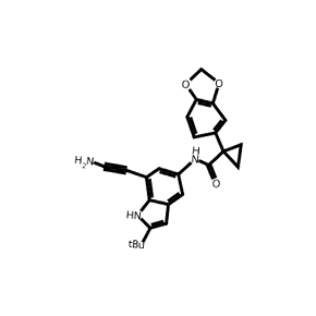 CC(C)(C)c1cc2cc(NC(=O)C3(c4ccc5c(c4)OCO5)CC3)cc(C#CN)c2[nH]1